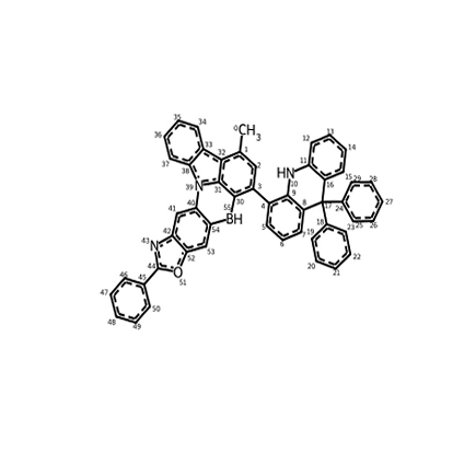 Cc1cc(-c2cccc3c2Nc2ccccc2C3(c2ccccc2)c2ccccc2)c2c3c1c1ccccc1n3-c1cc3nc(-c4ccccc4)oc3cc1B2